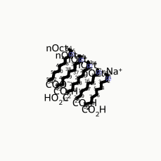 CCCCCCCC/C=C\CCCCCCCC(=O)O.CCCCCCCC/C=C\CCCCCCCC(=O)O.CCCCCCCC/C=C\CCCCCCCC(=O)O.CCCCCCCC/C=C\CCCCCCCC(=O)O.CCCCCCCC/C=C\CCCCCCCC(=O)[O-].[Na+]